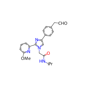 COc1cccc(-c2nc(-c3ccc(CC=O)cc3)cn2CC(=O)NC(C)C)n1